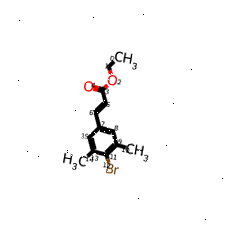 CCOC(=O)/C=C/c1cc(C)c(Br)c(C)c1